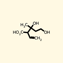 C=CC(C(=O)O)C(C)(O)CCO